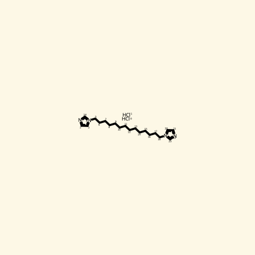 Cl.Cl.c1cn(CCCCCCCCCCCCCCn2ccnc2)cn1